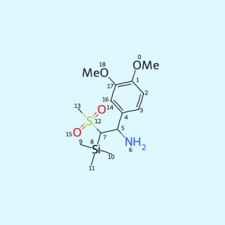 COc1ccc(C(N)C([Si](C)(C)C)S(C)(=O)=O)cc1OC